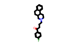 O=C(CCCN1CCC2c3ccccc3CCC2C1)c1ccc(F)cc1